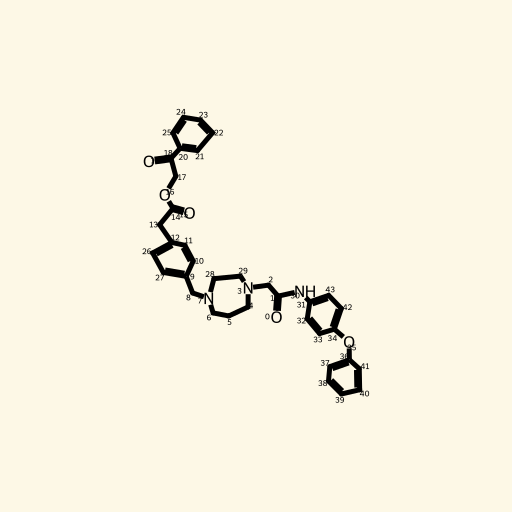 O=C(CN1CCCN(Cc2ccc(CC(=O)OCC(=O)c3ccccc3)cc2)CC1)Nc1ccc(Oc2ccccc2)cc1